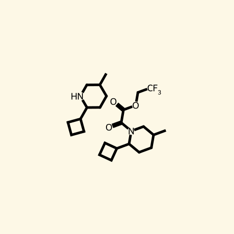 CC1CCC(C2CCC2)N(C(=O)C(=O)OCC(F)(F)F)C1.CC1CCC(C2CCC2)NC1